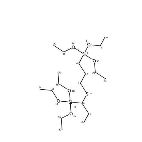 CCO[Si](CCCSC(CC)[Si](OCC)(OCC)OCC)(OCC)OCC